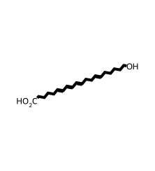 O=C(O)CCCCC=CC=CC=CCCC=CCCCCCO